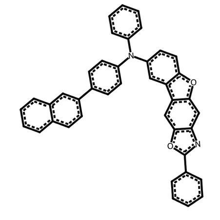 c1ccc(-c2nc3cc4oc5ccc(N(c6ccccc6)c6ccc(-c7ccc8ccccc8c7)cc6)cc5c4cc3o2)cc1